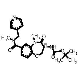 CN(Cc1ccncc1)C(=O)c1ccc2c(c1)N(C)C(=O)[C@@H](NC(=O)OC(C)(C)C)CO2